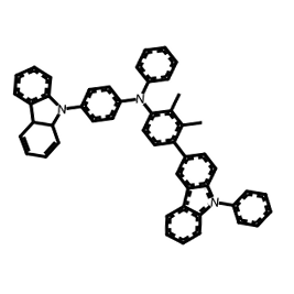 Cc1c(-c2ccc3c(c2)c2ccccc2n3-c2ccccc2)ccc(N(c2ccccc2)c2ccc(N3c4ccccc4C4C=CC=CC43)cc2)c1C